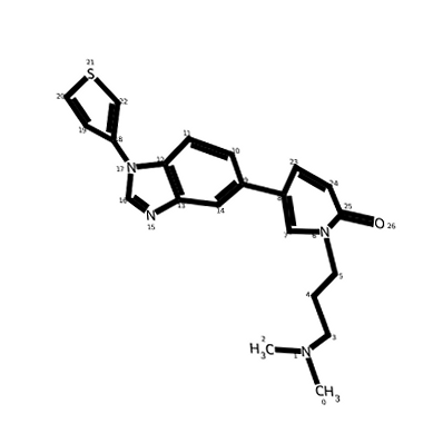 CN(C)CCCn1cc(-c2ccc3c(c2)ncn3-c2ccsc2)ccc1=O